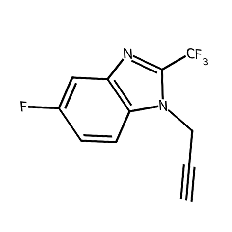 C#CCn1c(C(F)(F)F)nc2cc(F)ccc21